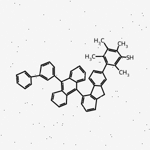 Cc1c(C)c(S)c(C)c(-c2ccc3c(c2)Cc2cccc(-c4c5ccccc5c(-c5cccc(-c6ccccc6)c5)c5ccccc45)c2-3)c1C